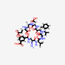 CC(C)C[C@H](NC(=O)[C@@H](NC(=O)[C@@H](N)CNC(=O)c1cccc(C(=O)O)c1)C(C)C)C(=O)N[C@@H](Cc1ccccc1)[C@@H](O)C(=O)N[C@@H](CC(=O)O)C(=O)N[C@@H](C)C(=O)N[C@@H](CCC(=O)O)C(=O)O